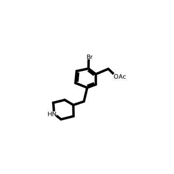 CC(=O)OCc1cc(CC2CCNCC2)ccc1Br